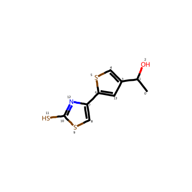 CC(O)c1csc(-c2csc(S)n2)c1